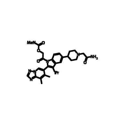 CNC(=O)OCC(=O)n1c(-c2cn3ncnc3c(C)c2C)c(C(C)C)c2cc(C3CCN(CC(N)=O)CC3)ccc21